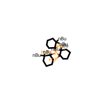 CCCCC1(CCCC)CCCCC1(P)P(C1(P)CCCCC1(CCCC)CCCC)C1(P)CCCCC1(CCCC)CCCC